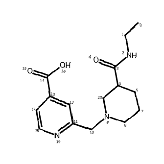 CCNC(=O)C1CCCN(Cc2cc(C(=O)O)ccn2)C1